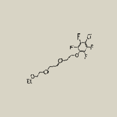 CCOCCOCCOCCOc1c(F)c(F)c(Cl)c(F)c1F